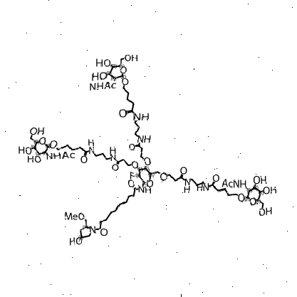 COC[C@@H]1C[C@@H](O)CN1C(=O)CCCCCCCCC(=O)N[C@@H]1O[C@H](COCCC(=O)NCCCNC(=O)CCCCO[C@@H]2O[C@H](CO)[C@H](O)[C@H](O)[C@H]2NC(C)=O)[C@@H](OCCC(=O)NCCCNC(=O)CCCCO[C@@H]2O[C@H](CO)[C@H](O)[C@H](O)[C@H]2NC(C)=O)[C@H](OCCC(=O)NCCCNC(=O)CCCCO[C@@H]2O[C@H](CO)[C@H](O)[C@H](O)[C@H]2NC(C)=O)[C@H]1F